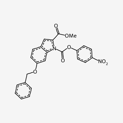 COC(=O)c1cc2ccc(OCc3ccccc3)cc2n1C(=O)Oc1ccc([N+](=O)[O-])cc1